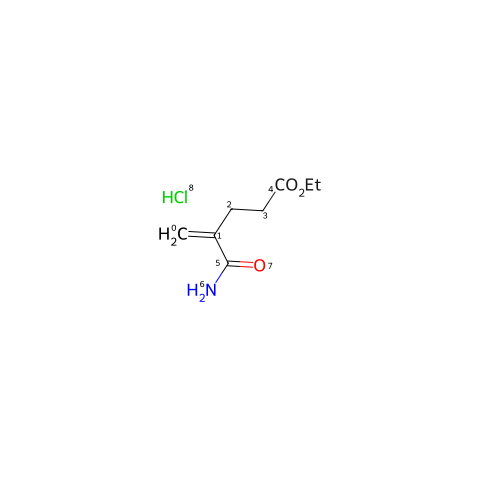 C=C(CCC(=O)OCC)C(N)=O.Cl